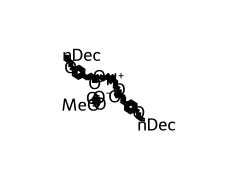 CCCCCCCCCCCCOc1ccc(/C=C/C(=O)OCC[N+](C)(C)CCOC(=O)/C=C/c2ccc(OCCCCCCCCCCCC)cc2)cc1.COS(=O)(=O)[O-]